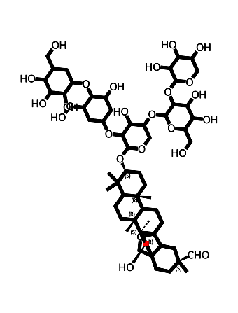 CC1(C)C2CC[C@]3(C)C(CCC45OCC6(CC[C@](C)(C=O)CC64)[C@H](O)C[C@]53C)[C@@]2(C)CC[C@@H]1OC1OCC(OC2OC(CO)C(O)C(O)C2OC2OCC(O)C(O)C2O)C(O)C1OC1CC(O)C(OC2CC(CO)C(O)C(O)C2O)C(OO)C1